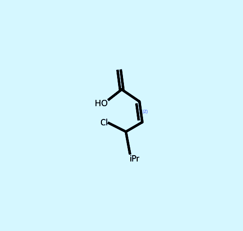 C=C(O)/C=C\C(Cl)C(C)C